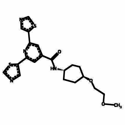 COCCO[C@H]1CC[C@H](NC(=O)c2cc(-c3cncs3)nc(-c3cncs3)c2)CC1